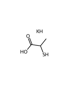 CC(S)C(=O)O.[KH]